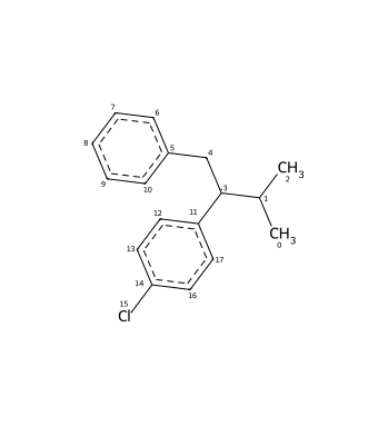 CC(C)[C](Cc1ccccc1)c1ccc(Cl)cc1